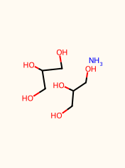 N.OCC(O)CO.OCC(O)CO